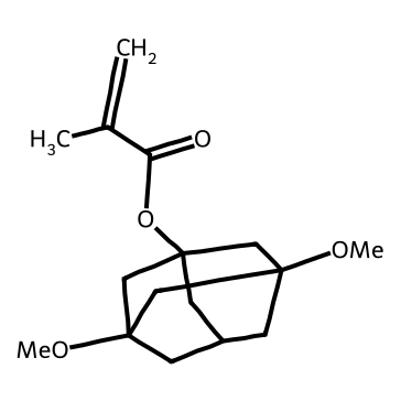 C=C(C)C(=O)OC12CC3CC(OC)(CC(OC)(C3)C1)C2